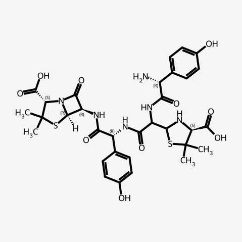 CC1(C)S[C@@H]2[C@H](NC(=O)[C@H](NC(=O)C(NC(=O)[C@H](N)c3ccc(O)cc3)C3N[C@@H](C(=O)O)C(C)(C)S3)c3ccc(O)cc3)C(=O)N2[C@H]1C(=O)O